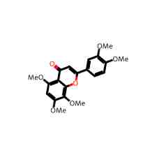 COc1ccc(-c2cc(=O)c3c(OC)cc(OC)c(OC)c3o2)cc1OC